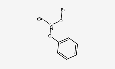 CCO[SiH](Oc1ccccc1)C(C)(C)C